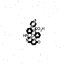 CN1CCN(c2ccc(Nc3ncc4ccc(=O)n(-c5cccc(NC(=O)O)c5)c4n3)c(Cl)c2)CC1